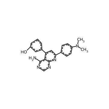 CN(C)c1ccc(-c2cc(-c3cccc(O)c3)c3c(N)ncnc3n2)cc1